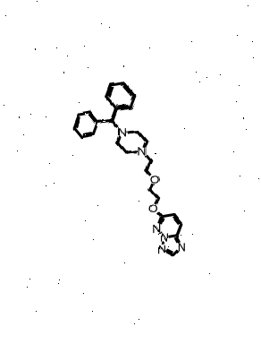 c1ccc(C(c2ccccc2)N2CCN(CCOCCOc3ccc4ncnn4n3)CC2)cc1